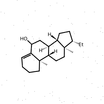 CC[C@H]1CC[C@H]2[C@@H]3CC(O)C4=CCCC[C@]4(C)[C@H]3CC[C@]12C